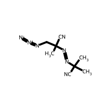 CC(C)(C#N)/N=N/C(C)(C#N)CN=[N+]=[N-]